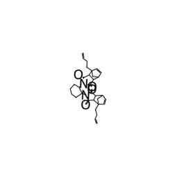 C=CCCC12C=CC(C1)C1C(=O)N(C3CCCCC3N3C(=O)C4C5C=CC(CCC=C)(C5)C4C3=O)C(=O)C12